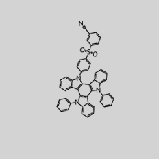 N#Cc1cccc(S(=O)(=O)c2ccc(-n3c4ccccc4c4c5c(c6ccccc6n5-c5ccccc5)c5c(c6ccccc6n5-c5ccccc5)c43)cc2)c1